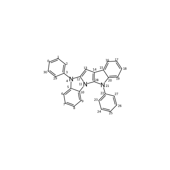 c1ccc(-n2c3ccccc3n3c2cc2c4ccccc4n(-c4ccccc4)c23)cc1